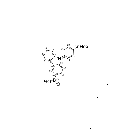 CCCCCCc1ccc(-n2c3ccccc3c3cc(B(O)O)ccc32)cc1